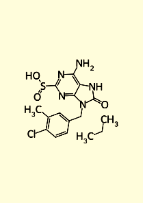 CCC.Cc1cc(Cn2c(=O)[nH]c3c(N)nc(S(=O)O)nc32)ccc1Cl